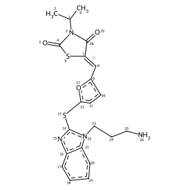 CC(C)N1C(=O)S/C(=C\c2ccc(Sc3nc4ccccc4n3CCCN)o2)C1=O